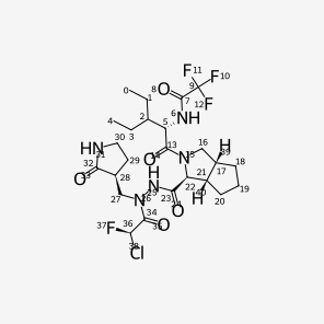 CCC(CC)[C@H](NC(=O)C(F)(F)F)C(=O)N1C[C@@H]2CCC[C@@H]2[C@H]1C(=O)NN(C[C@@H]1CCNC1=O)C(=O)[C@H](F)Cl